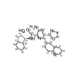 Nc1nc(-c2ncco2)c(-c2ccc3ncccc3c2)nc1C(=O)N[C@H]1c2ccccc2C[C@@H]1O